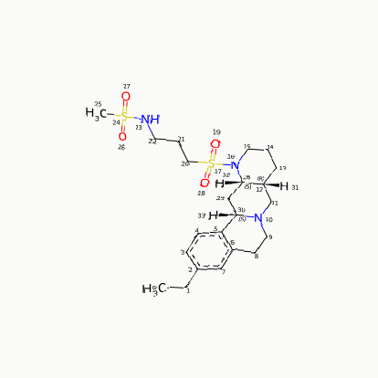 CCc1ccc2c(c1)CCN1C[C@H]3CCCN(S(=O)(=O)CCCNS(C)(=O)=O)[C@H]3C[C@@H]21